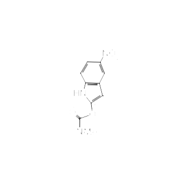 CNC(=O)Oc1cc2cc([N+](=O)[O-])ccc2[nH]1